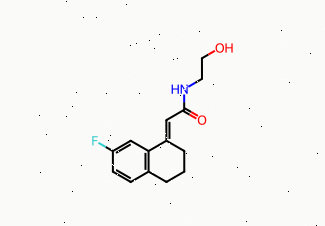 O=C(C=C1CCCc2ccc(F)cc21)NCCO